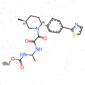 CC(NC(=O)OC(C)(C)C)NC(=O)C(=O)N1C[C@@H](C)CC[C@@H]1c1ccc(-c2nccs2)cc1